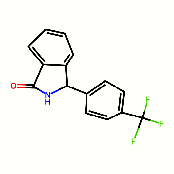 O=C1NC(c2ccc(C(F)(F)F)cc2)c2ccccc21